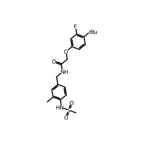 Cc1cc(CNC(=O)COc2ccc(C(C)(C)C)c(F)c2)ccc1NS(C)(=O)=O